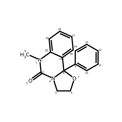 CN1C(=O)N2CCOC2(c2ccccc2)c2ccccc21